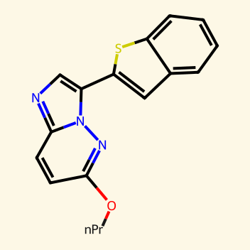 [CH2]CCOc1ccc2ncc(-c3cc4ccccc4s3)n2n1